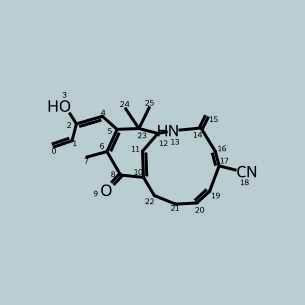 C=C/C(O)=C\C1=C(C)C(=O)C2=CC(NC(=C)/C=C(C#N)\C=C/CC2)C1(C)C